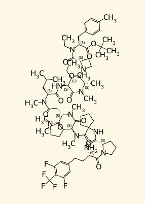 CC[C@H](C)[C@H](NC(=O)[C@H](CC(C)C)N(C)C(=O)C[C@@H](C(=O)N(C)C)N(C)C(=O)[C@H](C1CCCC1)N(C)C(=O)C1(NC(=O)[C@@H]2CCCN2C(=O)[C@@H](N)CCc2cc(F)c(C(F)(F)F)c(F)c2)CCCC1)C(=O)N(C)[C@@H](C)C(=O)N1CC[C@H]1C(=O)N(CC)[C@@H](Cc1ccc(C)cc1)C(=O)OC(C)(C)C